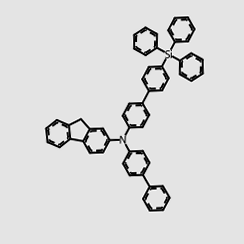 c1ccc(-c2ccc(N(c3ccc(-c4ccc([Si](c5ccccc5)(c5ccccc5)c5ccccc5)cc4)cc3)c3ccc4c(c3)Cc3ccccc3-4)cc2)cc1